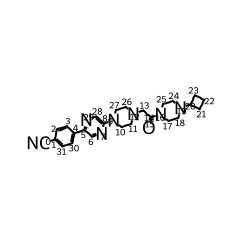 N#Cc1ccc(-c2cnc(N3CCN(CC(=O)N4CCN(C5CCC5)CC4)CC3)cn2)cc1